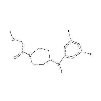 COCC(=O)N1CCC(N(C)c2cc(F)cc(I)c2)CC1